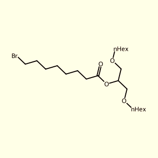 CCCCCCOCC(COCCCCCC)OC(=O)CCCCCCCBr